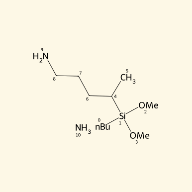 CCCC[Si](OC)(OC)C(C)CCCN.N